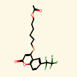 CC(=O)OCCCCCCSc1cc(=O)oc2ccc(C(F)(F)C(F)(F)F)cc12